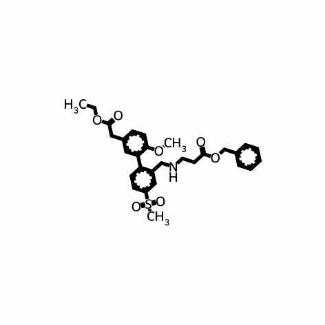 CCOC(=O)Cc1ccc(OC)c(-c2ccc(S(C)(=O)=O)cc2CNCCC(=O)OCc2ccccc2)c1